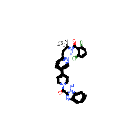 O=C(N[C@@H](Cc1ccc(C2=CCN(C(=O)c3nc4ccccc4[nH]3)CC2)cn1)C(=O)O)c1c(Cl)cccc1Cl